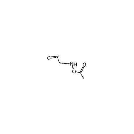 CC(=O)ONC[C]=O